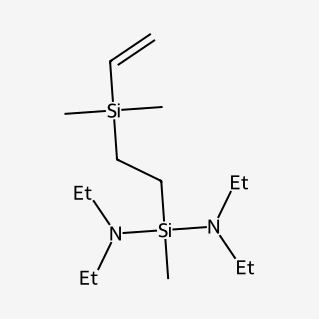 C=C[Si](C)(C)CC[Si](C)(N(CC)CC)N(CC)CC